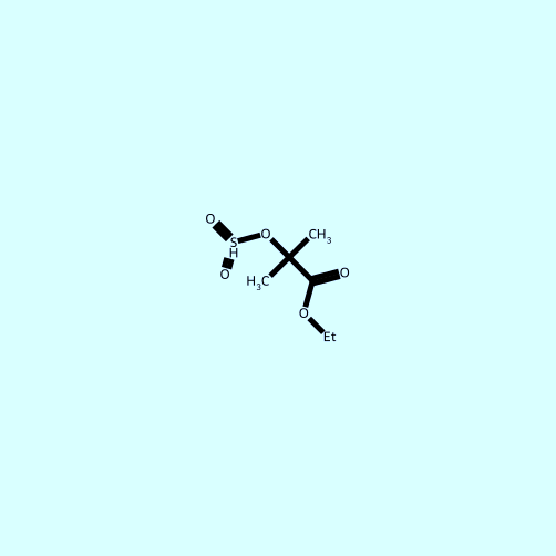 CCOC(=O)C(C)(C)O[SH](=O)=O